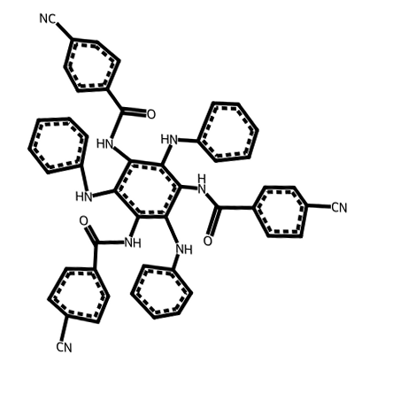 N#Cc1ccc(C(=O)Nc2c(Nc3ccccc3)c(NC(=O)c3ccc(C#N)cc3)c(Nc3ccccc3)c(NC(=O)c3ccc(C#N)cc3)c2Nc2ccccc2)cc1